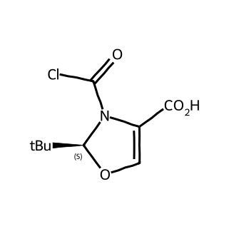 CC(C)(C)[C@@H]1OC=C(C(=O)O)N1C(=O)Cl